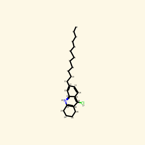 CCCCCCCCCCCCc1ccc2c(Cl)c3c(nc2c1)CCCC3